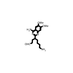 COc1cc2nc(C(CC[C]=O)CCCCN)nc(N)c2cc1OC